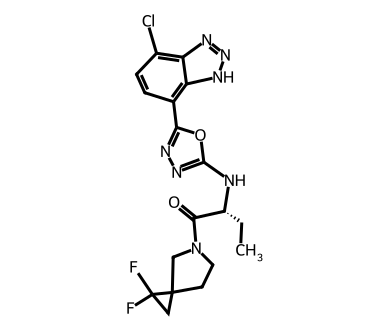 CC[C@@H](Nc1nnc(-c2ccc(Cl)c3nn[nH]c23)o1)C(=O)N1CCC2(C1)CC2(F)F